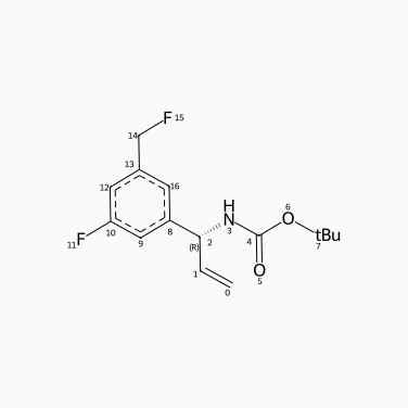 C=C[C@@H](NC(=O)OC(C)(C)C)c1cc(F)cc(CF)c1